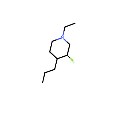 CCCC1CCN(CC)C[C@H]1F